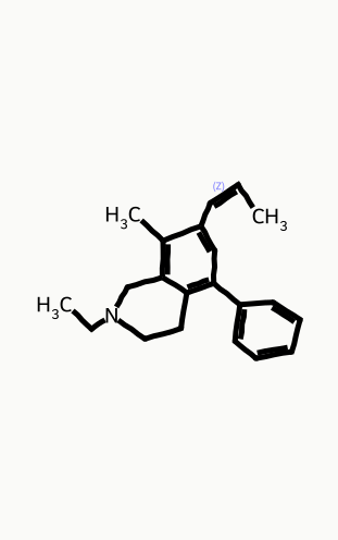 C/C=C\c1cc(-c2ccccc2)c2c(c1C)CN(CC)CC2